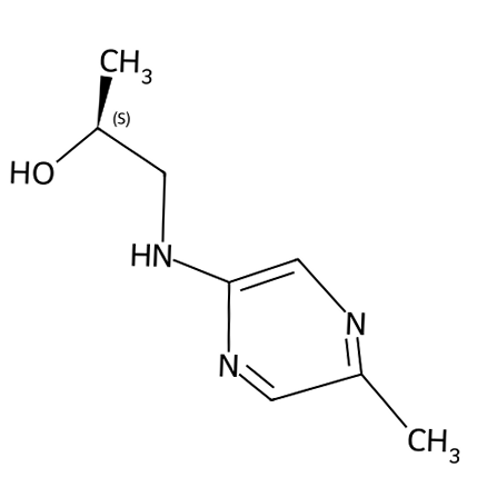 Cc1cnc(NC[C@H](C)O)cn1